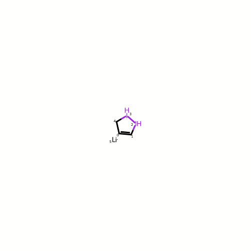 C1=C[IH][IH]C1.[Li]